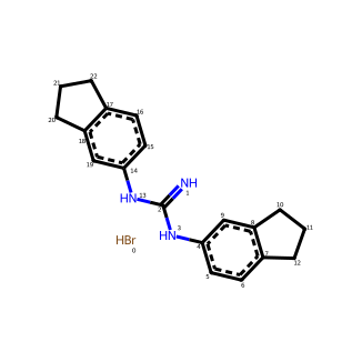 Br.N=C(Nc1ccc2c(c1)CCC2)Nc1ccc2c(c1)CCC2